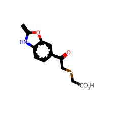 C=C1Nc2ccc(C(=O)CSCC(=O)O)cc2O1